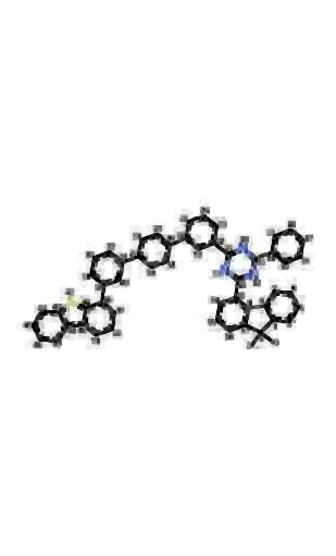 CC1(C)c2ccccc2-c2c(-c3nc(-c4ccccc4)nc(-c4cccc(-c5ccc(-c6cccc(-c7cccc8c7sc7ccccc78)c6)cc5)c4)n3)cccc21